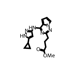 COC(=O)CCCc1nc(Nc2cc(C3CC3)[nH]n2)c2cccn2n1